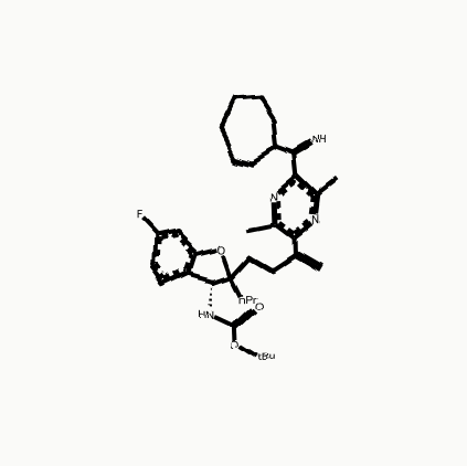 C=C(CCC1(CCC)Oc2cc(F)ccc2[C@H]1NC(=O)OC(C)(C)C)c1nc(C)c(C(=N)C2CCCCCC2)nc1C